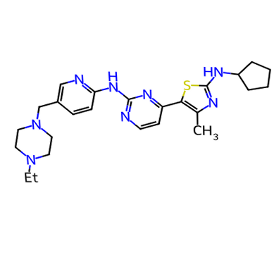 CCN1CCN(Cc2ccc(Nc3nccc(-c4sc(NC5CCCC5)nc4C)n3)nc2)CC1